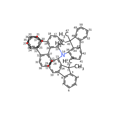 CC1(C)c2ccccc2-c2cccc(N(c3cccc(-c4ccccc4)c3-c3ccccc3-c3ccccc3)c3cccc4c3C(C)(C)c3ccccc3-4)c21